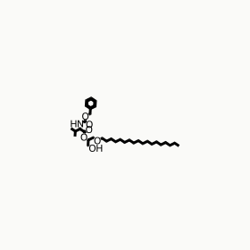 CCCCCCCCCCCCCCCCCCOCC(CO)OC(=O)C(NC(=O)OCc1ccccc1)C(C)C